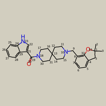 CC1(C)Cc2cccc(CN3CCC4(CC3)CCN(C(=O)c3c[nH]c5ccccc35)CC4)c2O1